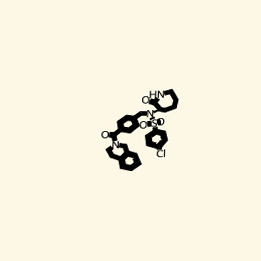 O=C1NCCCC[C@H]1N(Cc1ccc(C(=O)N2CCc3ccccc3C2)cc1)S(=O)(=O)c1ccc(Cl)cc1